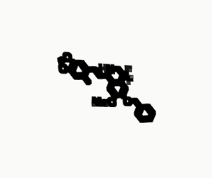 COc1cc2c(cc1OCc1ccccc1)C(F)(F)CNC2/C=C/c1cc2c(cc1C)OCO2